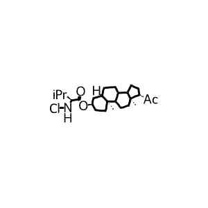 CC(=O)[C@H]1CCC2C3CC[C@@H]4C[C@H](OC(=O)[C@@H](NCl)C(C)C)CC[C@]4(C)C3CC[C@@]21C